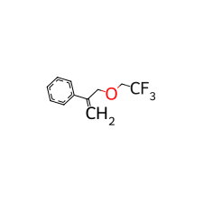 C=C(COCC(F)(F)F)c1ccccc1